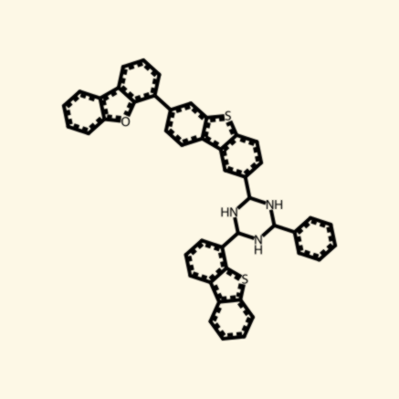 c1ccc(C2NC(c3ccc4sc5cc(-c6cccc7c6oc6ccccc67)ccc5c4c3)NC(c3cccc4c3sc3ccccc34)N2)cc1